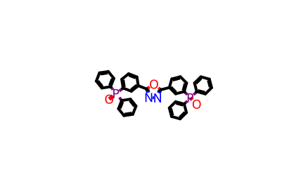 O=P(c1ccccc1)(c1ccccc1)c1cccc(-c2nnc(-c3cccc(P(=O)(c4ccccc4)c4ccccc4)c3)o2)c1